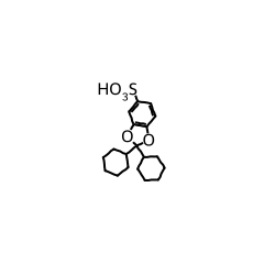 O=S(=O)(O)c1ccc2c(c1)OC(C1CCCCC1)(C1CCCCC1)O2